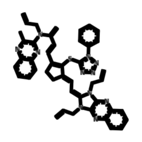 C=CCN(C(=C)C=CC1=C(Sc2nnnn2-c2ccccc2)C(=CC=C2N(CC=C)c3nc4ccccc4nc3N2CC=C)CC1)c1nc2ccccc2nc1C